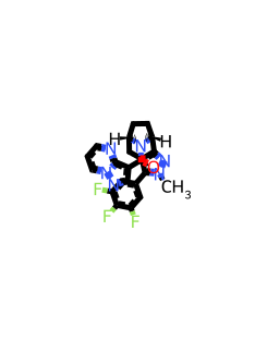 Cn1nc2c(c1-c1cc(F)c(F)c(F)c1)C[C@@H]1CC[C@H]2N1C(=O)c1cnn2cccnc12